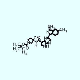 Cc1ccc2c(-c3cnc4[nH]cc(C(=O)NC5(C)CCN(C(=O)OC(C)(C)C)C5)c4n3)nn(C)c2c1